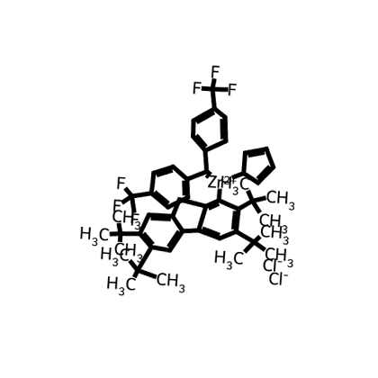 CC(C)(C)c1cc2c(cc1C(C)(C)C)-c1cc(C(C)(C)C)c(C(C)(C)C)[c]([Zr+2](=[C](c3ccc(C(F)(F)F)cc3)c3ccc(C(F)(F)F)cc3)[CH]3C=CC=C3)c1C2.[Cl-].[Cl-]